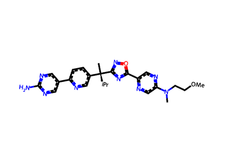 COCCN(C)c1cnc(-c2nc([C@@](C)(c3ccc(-c4cnc(N)nc4)nc3)C(C)C)no2)cn1